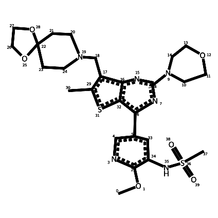 COc1ncc(-c2nc(N3CCOCC3)nc3c(CN4CCC5(CC4)OCCO5)c(C)sc23)cc1NS(C)(=O)=O